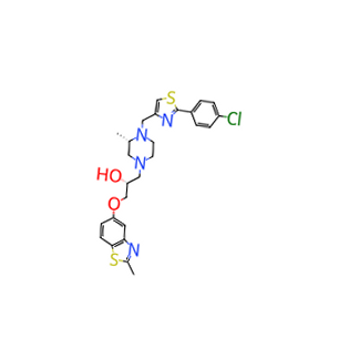 Cc1nc2cc(OC[C@H](O)CN3CCN(Cc4csc(-c5ccc(Cl)cc5)n4)[C@@H](C)C3)ccc2s1